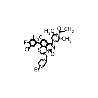 C=CC(=O)N1[C@H](C)CN(c2nc(=O)n3c4c(c(-c5ccc(F)c(Cl)c5)c(C)cc24)SC[C@@H]3CN2CCN(CC)CC2)C[C@@H]1C